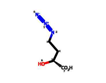 [N-]=[N+]=NCC[C@H](O)C(=O)O